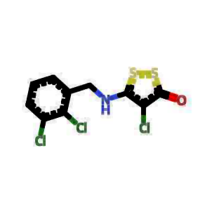 O=c1ssc(NCc2cccc(Cl)c2Cl)c1Cl